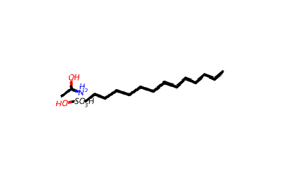 CC(N)O.CCCCCCCCCCCCCC.O=S(=O)(O)O